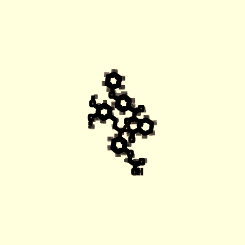 COc1ccc(CC[C@@H](OC(=O)C2CCCCN2C(=O)C(=O)c2ccc(Oc3ccccc3)cc2)c2cccc(OCC(=O)O)c2)cc1OC